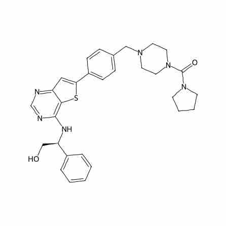 O=C(N1CCCC1)N1CCN(Cc2ccc(-c3cc4ncnc(N[C@H](CO)c5ccccc5)c4s3)cc2)CC1